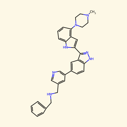 CN1CCN(c2cccc3[nH]c(-c4n[nH]c5ccc(-c6cncc(CNCc7ccccc7)c6)cc45)cc23)CC1